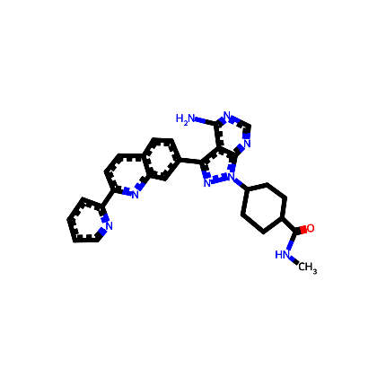 CNC(=O)C1CCC(n2nc(-c3ccc4ccc(-c5ccccn5)nc4c3)c3c(N)ncnc32)CC1